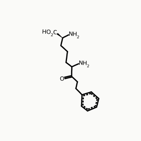 NC(CCC[C@H](N)C(=O)O)C(=O)CCc1ccccc1